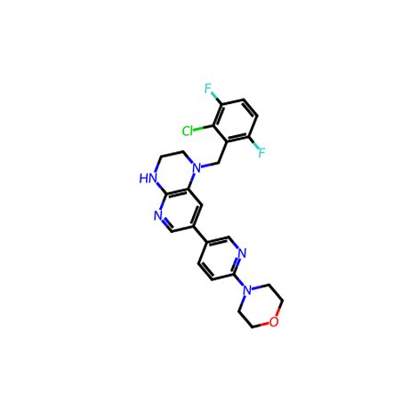 Fc1ccc(F)c(CN2CCNc3ncc(-c4ccc(N5CCOCC5)nc4)cc32)c1Cl